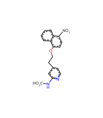 O=C(O)Nc1cc(CCOc2ccc([N+](=O)[O-])c3ccccc23)ccn1